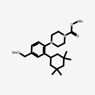 COCc1ccc(N2CCN(C(=O)OC(C)(C)C)CC2)c(C2CC(C)(C)CC(C)(C)C2)c1